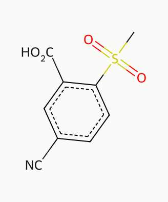 CS(=O)(=O)c1ccc(C#N)cc1C(=O)O